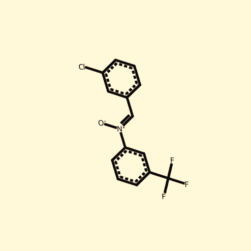 [O-][N+](=Cc1cccc(Cl)c1)c1cccc(C(F)(F)F)c1